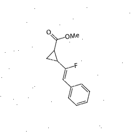 COC(=O)C1CC1C(F)=Cc1ccccc1